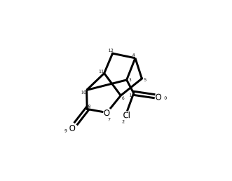 O=C(Cl)C1C2CC3OC(=O)C1C3C2